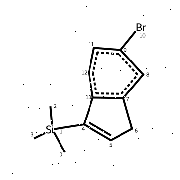 C[Si](C)(C)C1=CCc2cc(Br)ccc21